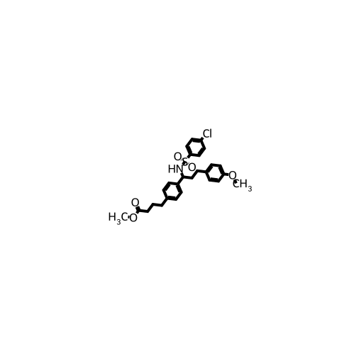 COC(=O)CCCc1ccc(C(CCc2ccc(OC)cc2)NS(=O)(=O)c2ccc(Cl)cc2)cc1